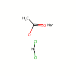 CC(=O)[O-].[Cl][Ni][Cl].[Na+]